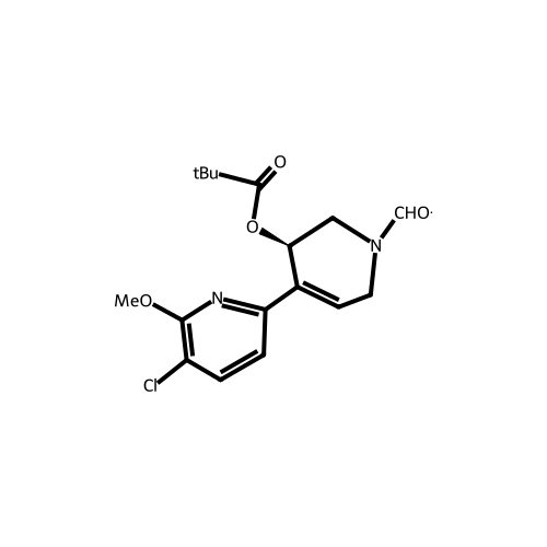 COc1nc(C2=CCN([C]=O)C[C@@H]2OC(=O)C(C)(C)C)ccc1Cl